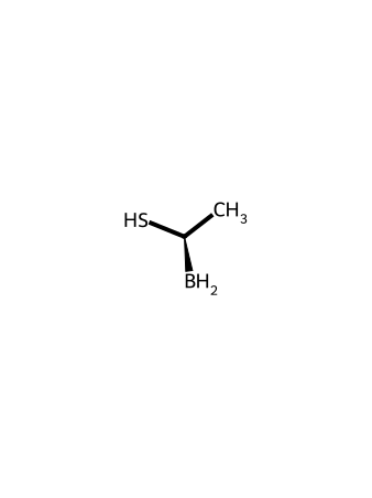 B[C@H](C)S